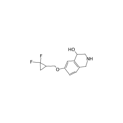 OC1CNCc2ccc(OCC3CC3(F)F)cc21